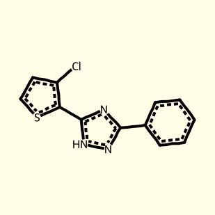 Clc1ccsc1-c1nc(-c2ccccc2)n[nH]1